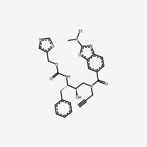 C#CCN(C[C@@H](O)[C@H](Cc1ccccc1)NC(=O)OCc1cncs1)C(=O)c1ccc2nc(N(C)CC)oc2c1